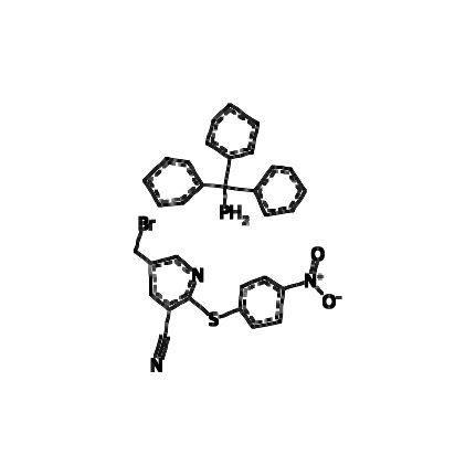 N#Cc1cc(CBr)cnc1Sc1ccc([N+](=O)[O-])cc1.PC(c1ccccc1)(c1ccccc1)c1ccccc1